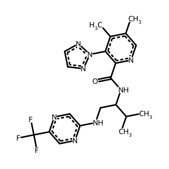 Cc1cnc(C(=O)NC(CNc2cnc(C(F)(F)F)cn2)C(C)C)c(-n2nccn2)c1C